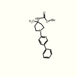 CC1(NC(=O)OC(C)(C)C)CCN(c2ccc(-c3ccccc3)cn2)CC1